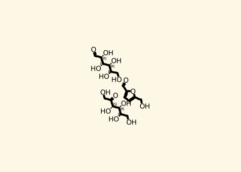 O=C(CO)[C@@H](O)[C@H](O)[C@H](O)CO.O=C[C@H](O)[C@@H](O)[C@H](O)[C@H](O)CO.O=Cc1ccc(CO)o1